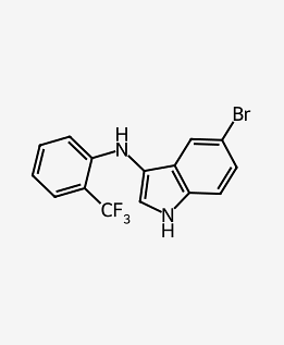 FC(F)(F)c1ccccc1Nc1c[nH]c2ccc(Br)cc12